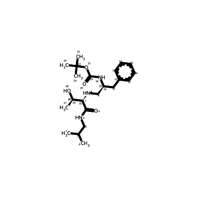 CC(C)CNC(=O)[C@@H](NC[C@H](Cc1ccccc1)NC(=O)OC(C)(C)C)[C@@H](C)O